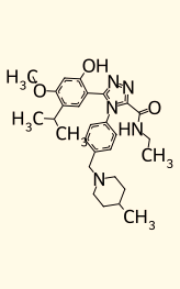 CCNC(=O)c1nnc(-c2cc(C(C)C)c(OC)cc2O)n1-c1ccc(CN2CCC(C)CC2)cc1